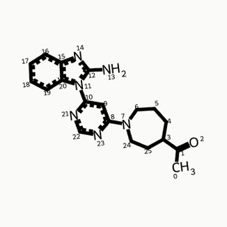 CC(=O)C1CCCN(c2cc(-n3c(N)nc4ccccc43)ncn2)CC1